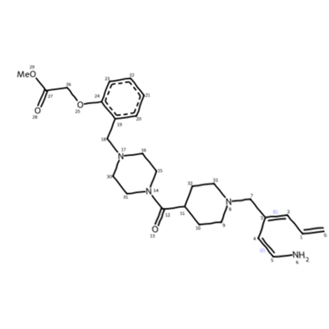 C=C/C=C(\C=C/N)CN1CCC(C(=O)N2CCN(Cc3ccccc3OCC(=O)OC)CC2)CC1